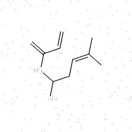 C=CC(=C)NC(CC=C(C)C)CCC